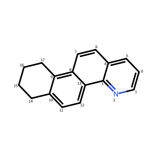 c1cnc2c(c1)ccc1c3c(ccc12)CCCC3